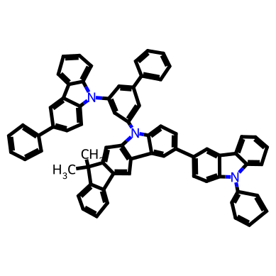 CC1(C)c2ccccc2-c2cc3c4cc(-c5ccc6c(c5)c5ccccc5n6-c5ccccc5)ccc4n(-c4cc(-c5ccccc5)cc(-n5c6ccccc6c6cc(-c7ccccc7)ccc65)c4)c3cc21